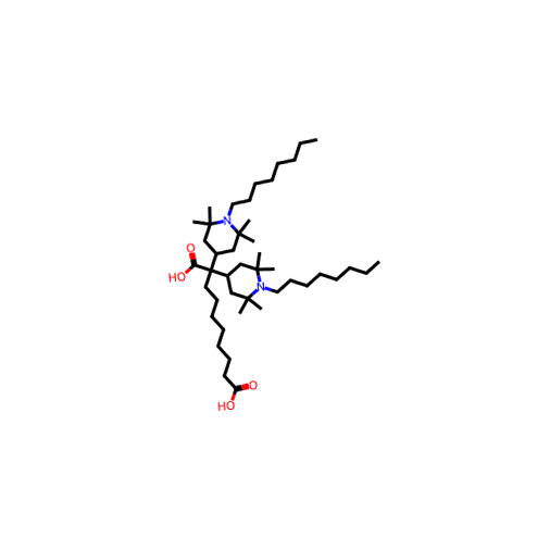 CCCCCCCCN1C(C)(C)CC(C(CCCCCCCC(=O)O)(C(=O)O)C2CC(C)(C)N(CCCCCCCC)C(C)(C)C2)CC1(C)C